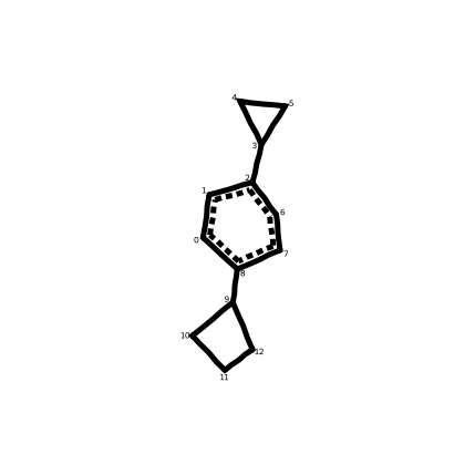 c1cc(C2CC2)ccc1C1CCC1